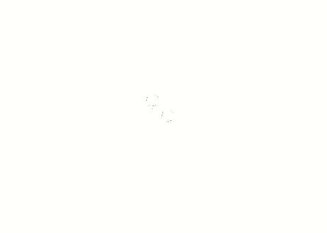 CCCCC[C@H]1CC[C@H](COc2ccc(-c3ncc(CC[C@H]4CC[C@H](CC)CC4)cn3)cc2)CC1